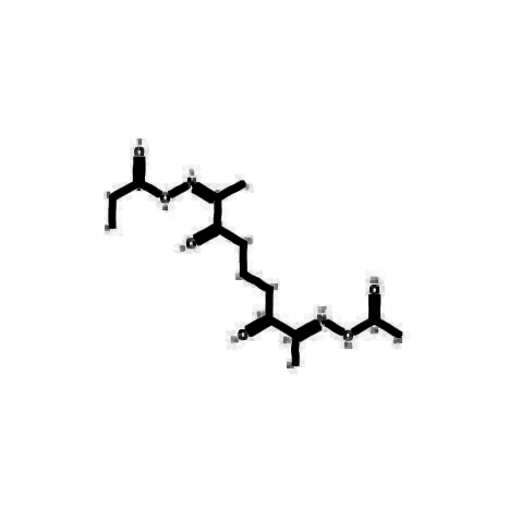 CCC(=O)ON=C(C)C(=O)CCCC(=O)C(C)=NOC(C)=O